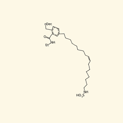 CCCCCCCCCCCc1ccc(CCCCCCCC/C=C\CCCCCCCNS(=O)(=O)O)cc1C(=O)NCC